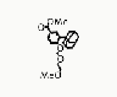 COCCOCOc1ccc(C(=O)OC)cc1C12CC3CC(CC(C3)C1)C2